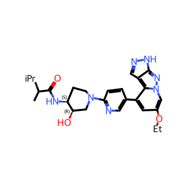 CCOc1cc(-c2ccc(N3CC[C@H](NC(=O)C(C)C(C)C)[C@H](O)C3)nc2)c2c3cn[nH]c3nn2c1